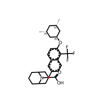 C[C@@H]1C[C@H](C)C[C@@H](Oc2ccc3cc(CN4C5CCCC4CC(C(=O)O)C5)ccc3c2C(F)(F)F)C1